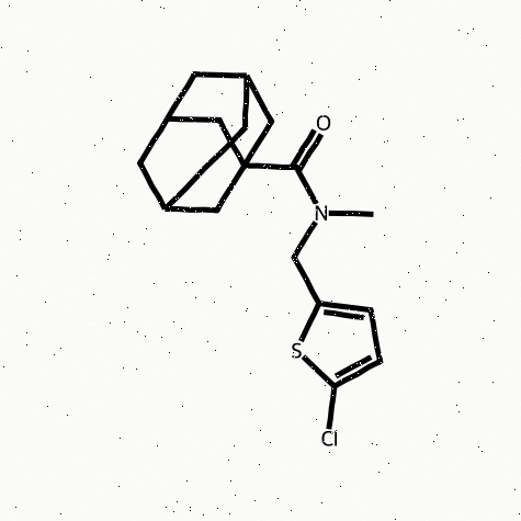 CN(Cc1ccc(Cl)s1)C(=O)C12CC3CC(CC(C3)C1)C2